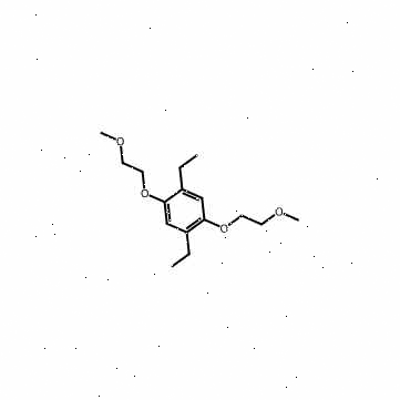 CCc1cc(OCCOC)c(CC)cc1OCCOC